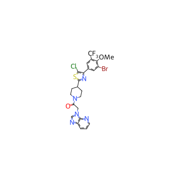 COc1c(Br)cc(-c2nc(C3CCN(C(=O)Cn4cnc5cccnc54)CC3)sc2Cl)cc1C(F)(F)F